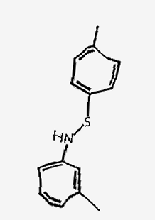 Cc1ccc(SNc2cccc(C)c2)cc1